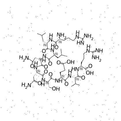 CC(C)C[C@H](NC(=O)[C@H](CC(C)C)NC(=O)[C@@H](N)CCCNC(=N)N)C(=O)N[C@@H](CC(N)=O)C(=O)N[C@@H](CC(N)=O)C(=O)N[C@@H](CO)C(=O)N[C@@H](CCC(=O)O)C(=O)N[C@H](C(=O)N[C@@H](CCCNC(=N)N)C(=O)O)C(C)C